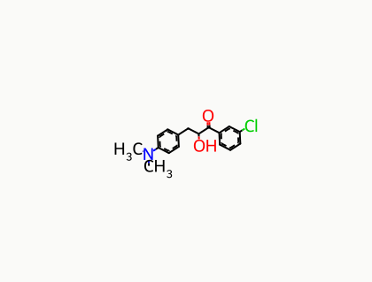 CN(C)c1ccc(CC(O)C(=O)c2cccc(Cl)c2)cc1